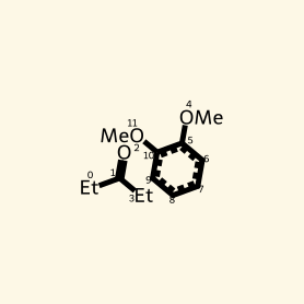 CCC(=O)CC.COc1ccccc1OC